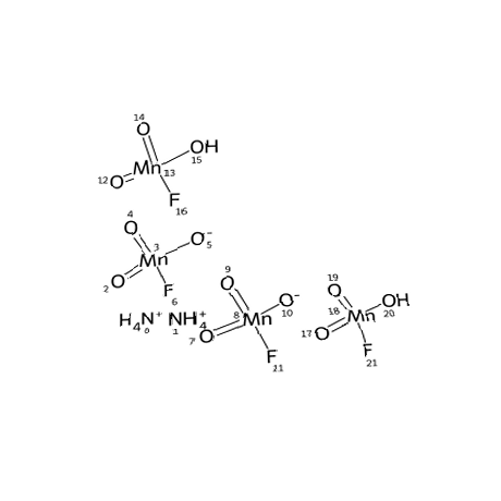 [NH4+].[NH4+].[O]=[Mn](=[O])([O-])[F].[O]=[Mn](=[O])([O-])[F].[O]=[Mn](=[O])([OH])[F].[O]=[Mn](=[O])([OH])[F]